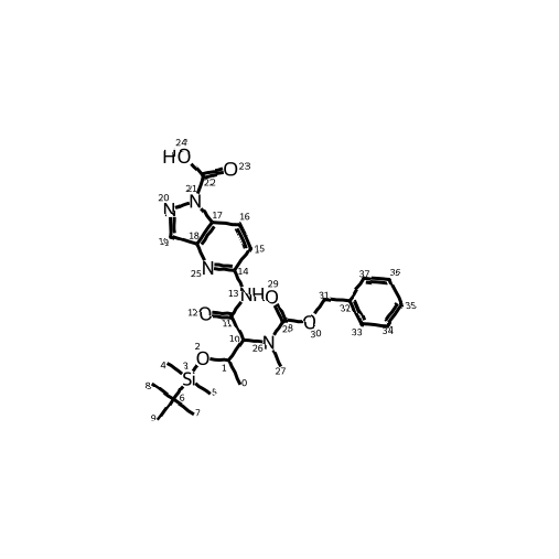 CC(O[Si](C)(C)C(C)(C)C)C(C(=O)Nc1ccc2c(cnn2C(=O)O)n1)N(C)C(=O)OCc1ccccc1